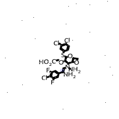 N/C(=C\N(N)C1C2OCC2OC(Sc2ccc(Cl)c(Cl)c2)C1OCC(=O)O)c1cc(F)c(Cl)c(F)c1